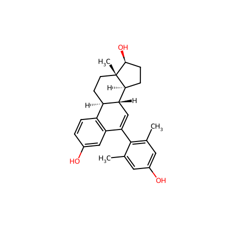 Cc1cc(O)cc(C)c1C1=C[C@@H]2[C@H](CC[C@]3(C)[C@@H](O)CC[C@@H]23)c2ccc(O)cc21